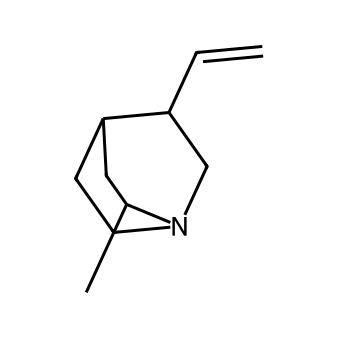 C=CC1CN2CCC1CC2C